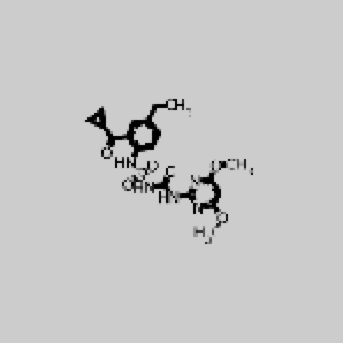 CCc1ccc(NS(=O)(=O)NC(=O)Nc2nc(OC)cc(OC)n2)c(C(=O)C2CC2)c1